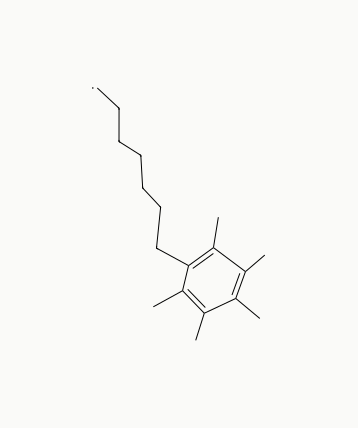 [CH2]CCCCCCc1c(C)c(C)c(C)c(C)c1C